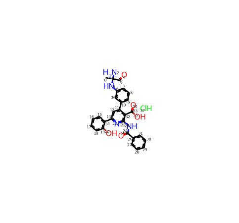 C[C@@](N)(C=O)Nc1cccc(-c2cc(-c3ccccc3O)nc(NC(=O)c3ccccc3)c2C(=O)O)c1.Cl